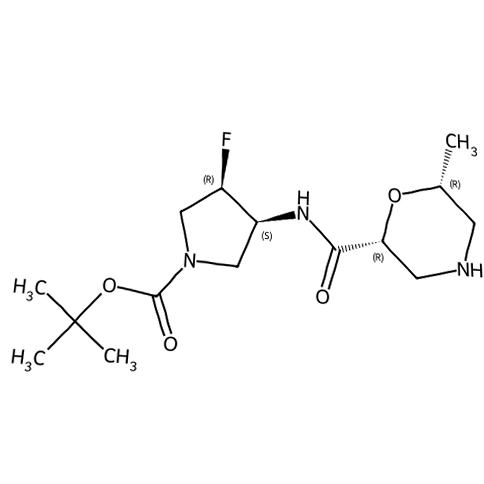 C[C@@H]1CNC[C@H](C(=O)N[C@H]2CN(C(=O)OC(C)(C)C)C[C@H]2F)O1